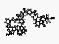 Cc1cc(F)c(Nc2nc(-c3ccc4c(c3)N([C@H]3C[C@@H](N5CCCCC5)C3)C(=O)C43CCN(C(=O)c4ccc(C(=O)N5CCC(c6cccc7c6C(=O)N([C@H]6CCC(O)NC6=O)C7=O)CC5)cc4)CC3)cc3ncn(C(C)C)c23)cc1C(=O)NC(C)C